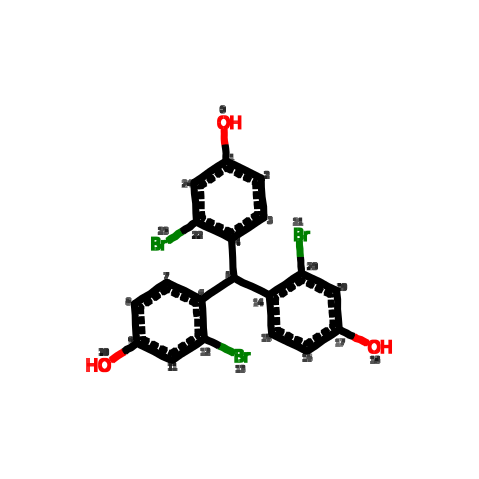 Oc1ccc(C(c2ccc(O)cc2Br)c2ccc(O)cc2Br)c(Br)c1